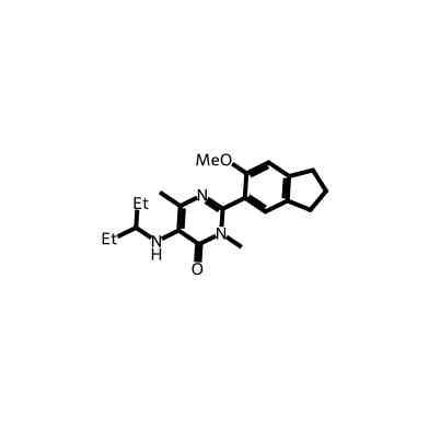 CCC(CC)Nc1c(C)nc(-c2cc3c(cc2OC)CCC3)n(C)c1=O